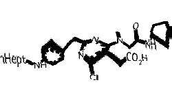 CCCCCCCNc1ccc(Cc2nc(Cl)c(CC(=O)O)c(N(C)CC(=O)NC3CCCC3)n2)cc1